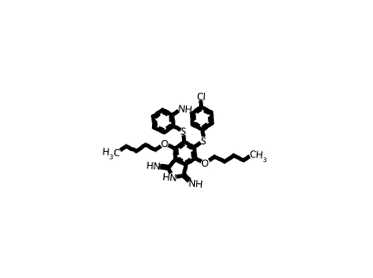 CCCCCOc1c(Sc2ccc(Cl)cc2)c(Sc2ccccc2N)c(OCCCCC)c2c1C(=N)NC2=N